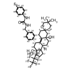 CC1(C)COC2(CCC3=C4[C@@H](CC[C@@]3(O)C2)[C@@H]2CC[C@@](O)(C(F)(F)C(F)(F)F)[C@@]2(C)C[C@@H]4c2ccc(CNC(=O)Nc3ccc(F)cc3)cc2)OC1